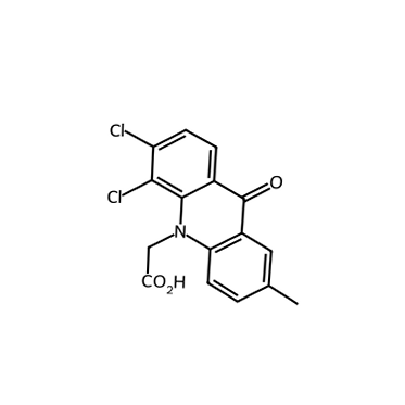 Cc1ccc2c(c1)c(=O)c1ccc(Cl)c(Cl)c1n2CC(=O)O